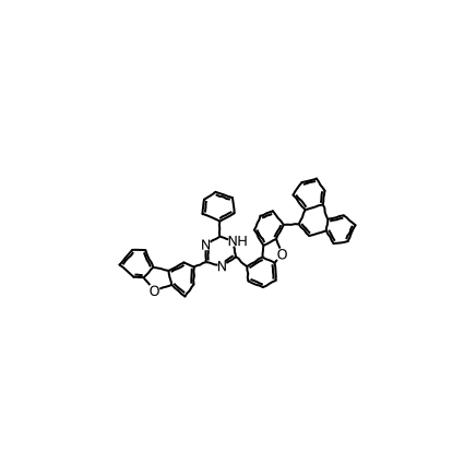 c1ccc(C2N=C(c3ccc4oc5ccccc5c4c3)N=C(c3cccc4oc5c(-c6cc7ccccc7c7ccccc67)cccc5c34)N2)cc1